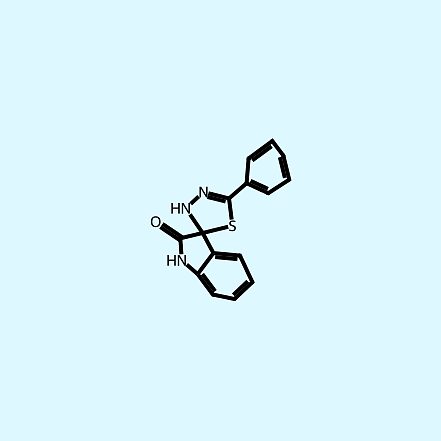 O=C1Nc2ccccc2C12NN=C(c1ccccc1)S2